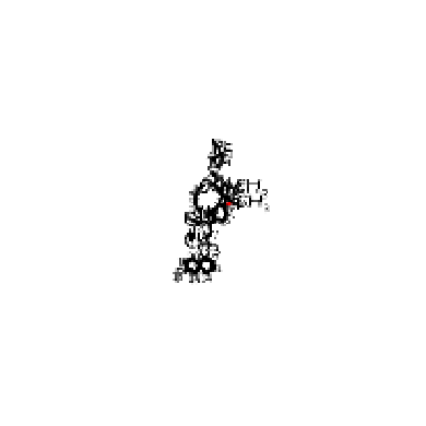 CCOC(=O)c1c(CCCOc2cccc3cc(F)ccc23)c2ccc(Cl)c3c2n1C/C=C\COC(CCN1CC(F)(F)C1)c1nn(C)c(CC)c1-3